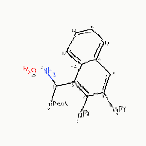 CCCCCC(N)c1c(CCC)c(CCC)cc2ccccc12.O